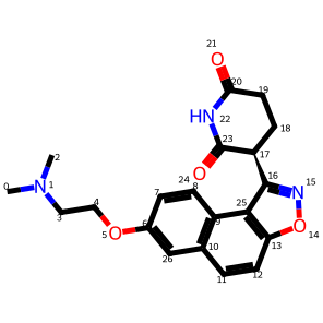 CN(C)CCOc1ccc2c(ccc3onc([C@@H]4CCC(=O)NC4=O)c32)c1